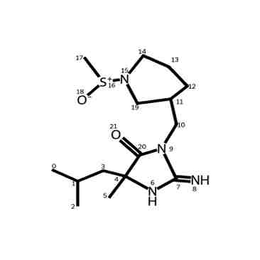 CC(C)CC1(C)NC(=N)N(CC2CCCN([S+](C)[O-])C2)C1=O